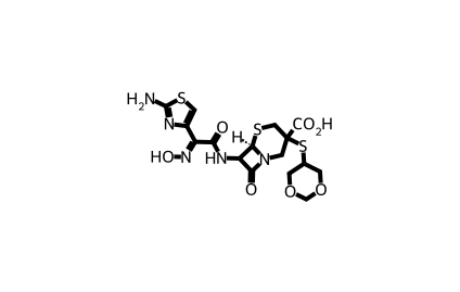 Nc1nc(C(=NO)C(=O)NC2C(=O)N3CC(SC4COCOC4)(C(=O)O)CS[C@H]23)cs1